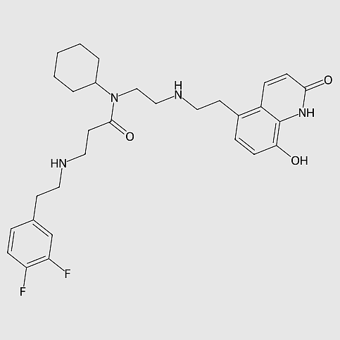 O=C(CCNCCc1ccc(F)c(F)c1)N(CCNCCc1ccc(O)c2[nH]c(=O)ccc12)C1CCCCC1